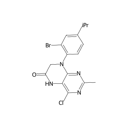 Cc1nc(Cl)c2c(n1)N(c1ccc(C(C)C)cc1Br)CC(=O)N2